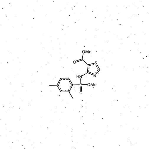 COC(=O)c1scnc1NP(=O)(OC)c1ccc(C)cc1C